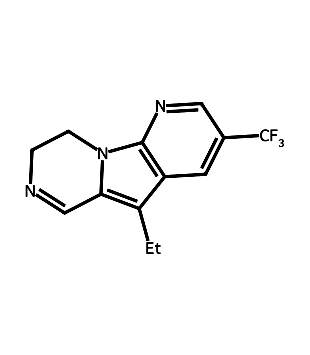 CCc1c2n(c3ncc(C(F)(F)F)cc13)CCN=C2